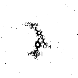 O=NP(=O)(O)CCc1ccc(CN(CCCO)Cc2ccc(CCP(=O)(O)O)cc2)cc1